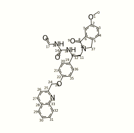 COc1ccc2c(c1)C(=O)N(C[C@H](NC(=O)NC=O)c1ccc(OCc3ccc4ccccc4n3)cc1)C2